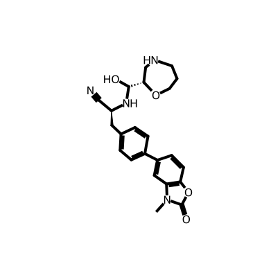 Cn1c(=O)oc2ccc(-c3ccc(C[C@@H](C#N)NC(O)[C@@H]4CNCCCO4)cc3)cc21